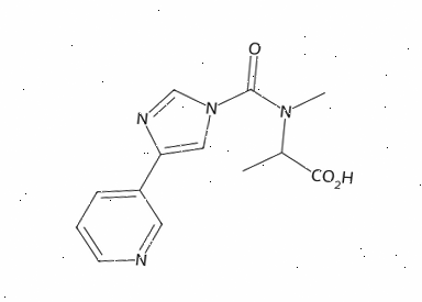 CC(C(=O)O)N(C)C(=O)n1cnc(-c2cccnc2)c1